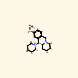 COc1ccc(CN2CCCCC2)c(CN2CCCCC2)c1